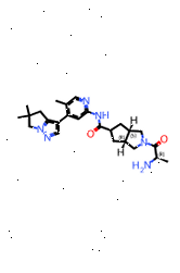 Cc1cnc(NC(=O)C2C[C@@H]3CN(C(=O)[C@@H](C)N)C[C@@H]3C2)cc1-c1cnn2c1CC(C)(C)C2